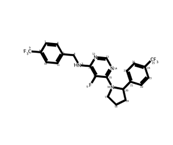 Fc1c(NCc2ccc(C(F)(F)F)cc2)ncnc1N1CCCC1c1ccc(C(F)(F)F)cc1